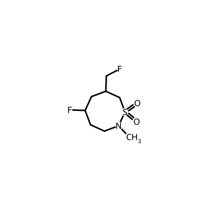 CN1CCC(F)CC(CF)CS1(=O)=O